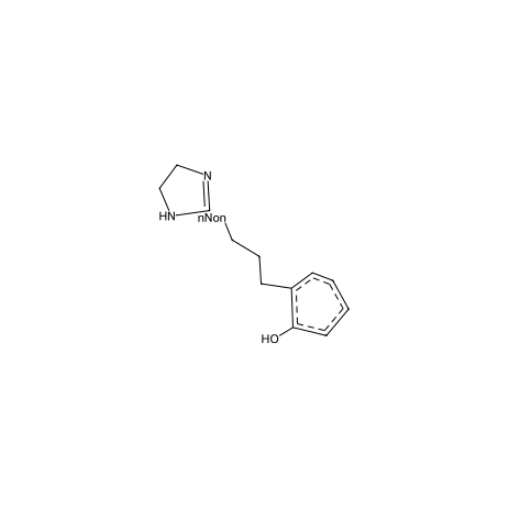 C1=NCCN1.CCCCCCCCCCCCc1ccccc1O